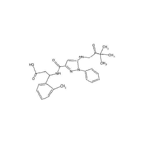 Cc1ccccc1C(CC(=O)O)NC(=O)c1cc(NCC(=O)C(C)(C)C)n(-c2ccccc2)n1